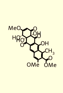 COC(=O)c1c(OC)cc2cc3c(c(O)c2c1C)C(=O)[C@]1(O)C(=O)C=C(OC)[C@@H](O)[C@]1(O)C3=O